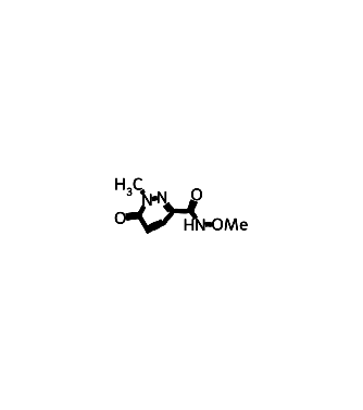 CONC(=O)c1ccc(=O)n(C)n1